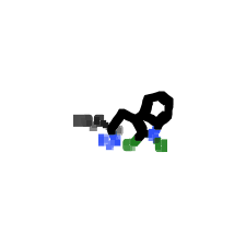 N[C@@H](Cc1c(Cl)n(Cl)c2ccccc12)C(=O)O